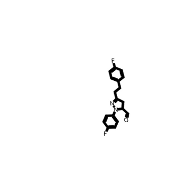 O=CC1CC(CCc2ccc(F)cc2)=NN1c1ccc(F)cc1